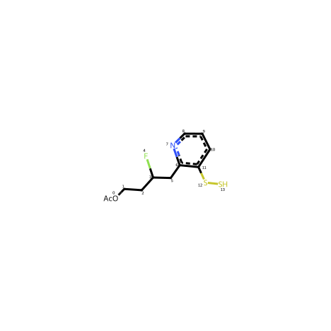 CC(=O)OCCC(F)Cc1ncccc1SS